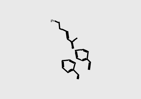 C=C(C)C=CCCC(C)C.C=Cc1ccccc1.C=Cc1ccccc1